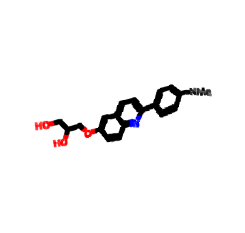 CNc1ccc(-c2ccc3cc(OCC(O)CO)ccc3n2)cc1